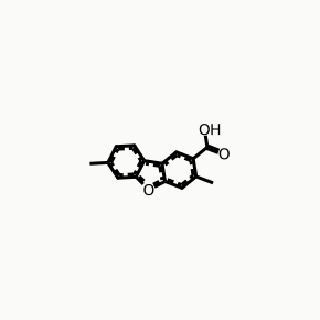 Cc1ccc2c(c1)oc1cc(C)c(C(=O)O)cc12